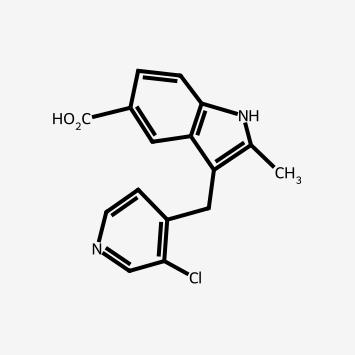 Cc1[nH]c2ccc(C(=O)O)cc2c1Cc1ccncc1Cl